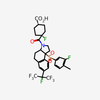 Cc1ccc(S(=O)(=O)C23CCN(C(=O)[C@]4(F)CC[C@@H](C(=O)O)CC4)C2CCc2cc(C(F)(C(F)(F)F)C(F)(F)F)ccc23)cc1F